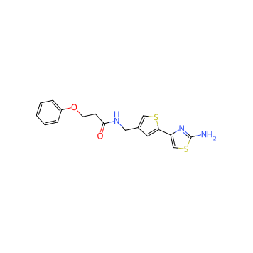 Nc1nc(-c2cc(CNC(=O)CCOc3ccccc3)cs2)cs1